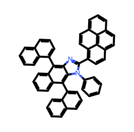 c1ccc(-n2c(-c3ccc4ccc5cccc6ccc3c4c56)nc3c(-c4cccc5ccccc45)c4ccccc4c(-c4cccc5ccccc45)c32)cc1